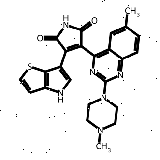 Cc1ccc2nc(N3CCN(C)CC3)nc(C3=C(c4c[nH]c5ccsc45)C(=O)NC3=O)c2c1